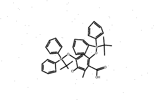 Cc1c(Cl)c(O[Si](c2ccccc2)(c2ccccc2)C(C)(C)C)cc(O[Si](c2ccccc2)(c2ccccc2)C(C)(C)C)c1C(=O)O